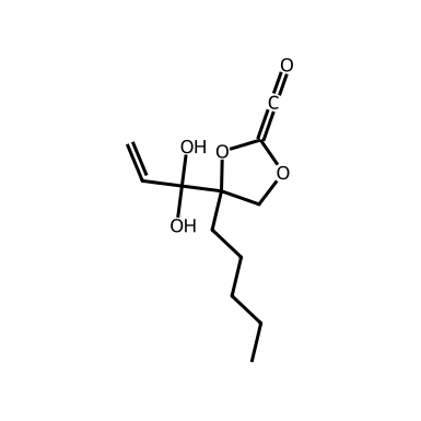 C=CC(O)(O)C1(CCCCC)COC(=C=O)O1